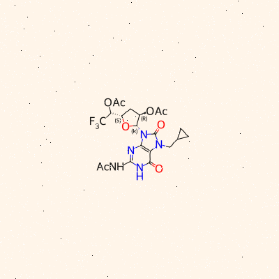 CC(=O)Nc1nc2c(c(=O)[nH]1)n(CC1CC1)c(=O)n2[C@@H]1O[C@H](C(OC(C)=O)C(F)(F)F)C[C@H]1OC(C)=O